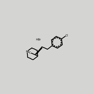 Br.Clc1ccc(CC=C2CN3CCC2CC3)cc1